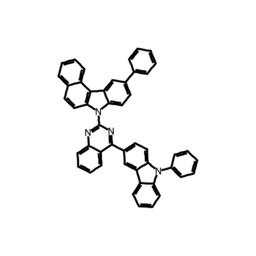 c1ccc(-c2ccc3c(c2)c2c4ccccc4ccc2n3-c2nc(-c3ccc4c(c3)c3ccccc3n4-c3ccccc3)c3ccccc3n2)cc1